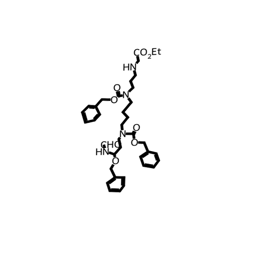 CCOC(=O)CNCCCN(CCCCN(CCC(NC=O)OCc1ccccc1)C(=O)OCc1ccccc1)C(=O)OCc1ccccc1